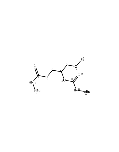 CCCCNC(=O)OCC(COCC)OC(=O)NCCCC